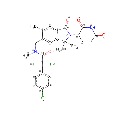 Bc1cc2c(cc1CN(B)C(=O)C(F)(F)c1ccc(Cl)cc1)C(B)(B)N(C1CCC(=O)NC1=O)C2=O